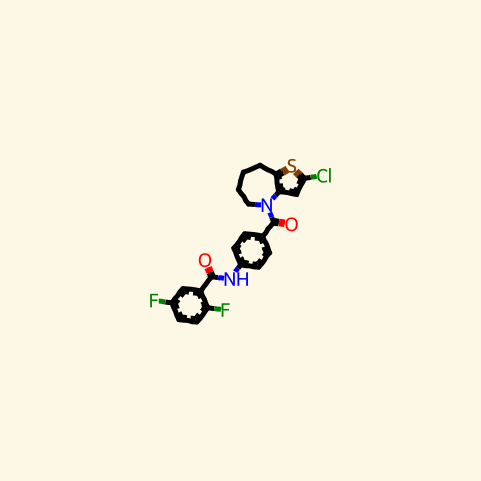 O=C(Nc1ccc(C(=O)N2CCCCc3sc(Cl)cc32)cc1)c1cc(F)ccc1F